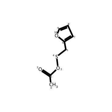 CC(=O)OSCc1ccco1